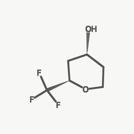 O[C@@H]1CCO[C@H](C(F)(F)F)C1